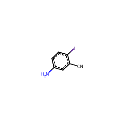 N#Cc1cc(N)ccc1I